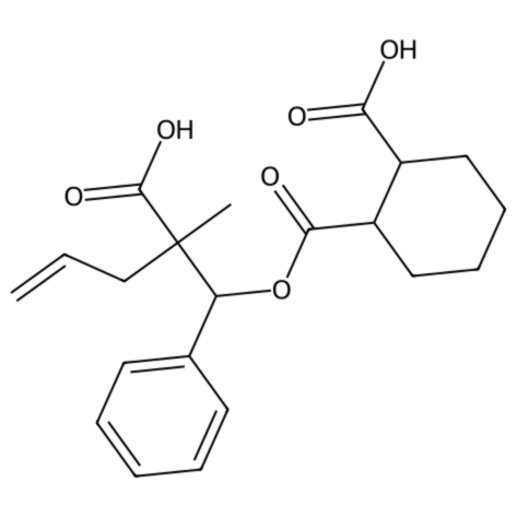 C=CCC(C)(C(=O)O)C(OC(=O)C1CCCCC1C(=O)O)c1ccccc1